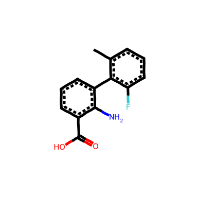 Cc1cccc(F)c1-c1cccc(C(=O)O)c1N